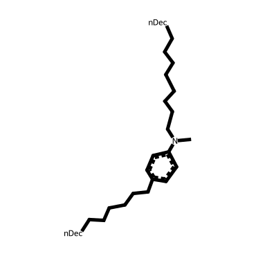 CCCCCCCCCCCCCCCCCCN(C)c1ccc(CCCCCCCCCCCCCCCC)cc1